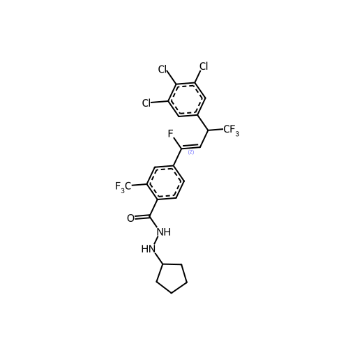 O=C(NNC1CCCC1)c1ccc(/C(F)=C/C(c2cc(Cl)c(Cl)c(Cl)c2)C(F)(F)F)cc1C(F)(F)F